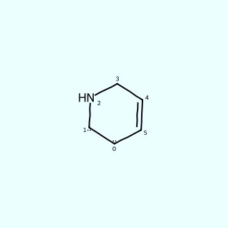 [C]1[C]NCC=C1